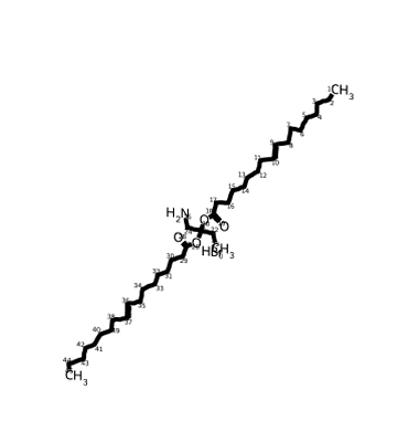 Br.CCCCCCCCC=CCCCCCCCC(=O)OC(CC)(CN)OC(=O)CCCCCCCC=CCCCCCCCC